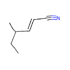 CCC(C)C=CC#N